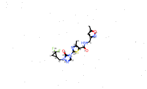 Cc1cc(CNC(=O)c2sc(-n3cnn(CC4CC4(F)F)c3=O)nc2C)no1